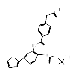 CC(C)(C)OC(=O)Nc1ccc(-c2cccs2)cc1NC(=O)c1ccc(CC(=O)O)cc1